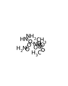 CCO[C@@H](C(=O)NCc1ccc(C(=N)N)cc1OCC(N)=O)N1Cc2c(C)cccc2C1=O